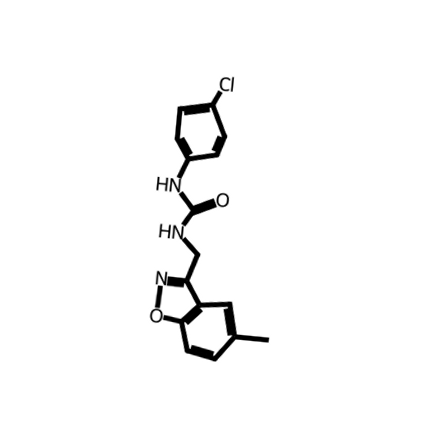 Cc1ccc2onc(CNC(=O)Nc3ccc(Cl)cc3)c2c1